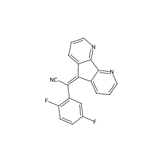 N#CC(=C1c2cccnc2-c2ncccc21)c1cc(F)ccc1F